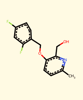 Cc1ccc(OCc2ccc(F)cc2F)c(CO)n1